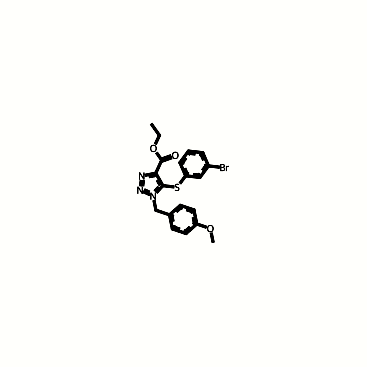 CCOC(=O)c1nnn(Cc2ccc(OC)cc2)c1Sc1cccc(Br)c1